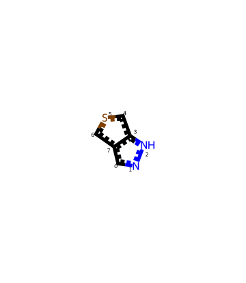 c1n[nH]c2cscc12